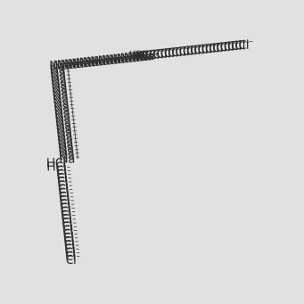 Cl.Cl.Cl.Cl.Cl.[Cl-].[Cl-].[Cl-].[Cl-].[Cl-].[Cl-].[Cl-].[Cl-].[Cl-].[Cl-].[Cl-].[Cl-].[Cl-].[Cl-].[Cl-].[Cl-].[Cl-].[Cl-].[Cl-].[Cl-].[Cl-].[Cl-].[Cl-].[Cl-].[Cl-].[Cl-].[Cl-].[Cl-].[Cl-].[Cl-].[Cl-].[Cl-].[Cl-].[Cl-].[Cl-].[Cl-].[Cl-].[Cl-].[Cl-].[Cl-].[Cl-].[Cl-].[Cl-].[Cl-].[Cl-].[Cl-].[Cl-].[Cl-].[Cl-].[Cl-].[Na+].[Na+].[Na+].[Na+].[Na+].[Na+].[Na+].[Na+].[Na+].[Na+].[Na+].[Na+].[Na+].[Na+].[Na+].[Na+].[Na+].[Na+].[Na+].[Na+].[Na+].[Na+].[Na+].[Na+].[Na+].[Na+].[Na+].[Na+].[Na+].[Na+].[Na+].[Na+].[Na+].[Na+].[Na+].[Na+].[Na+].[Na+].[Na+].[Na+].[Na+].[Na+].[Na+].[Na+].[Na+].[Na+].[Na+].[Na+].[Na+].[Na+]